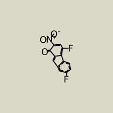 O=C1C2=Cc3cc(F)ccc3C2=C(F)C=C1[N+](=O)[O-]